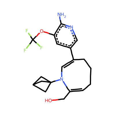 Nc1ncc(/C2=C/N(C34CC(C3)C4)/C(CO)=C\CCC2)cc1OC(F)(F)F